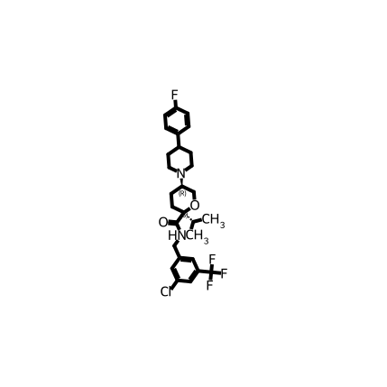 CC(C)[C@]1(C(=O)NCc2cc(Cl)cc(C(F)(F)F)c2)CC[C@@H](N2CCC(c3ccc(F)cc3)CC2)CO1